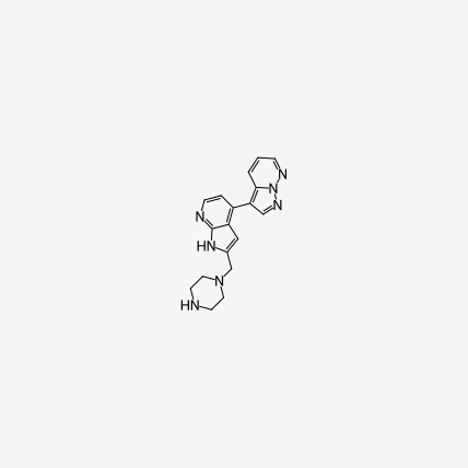 c1cnn2ncc(-c3ccnc4[nH]c(CN5CCNCC5)cc34)c2c1